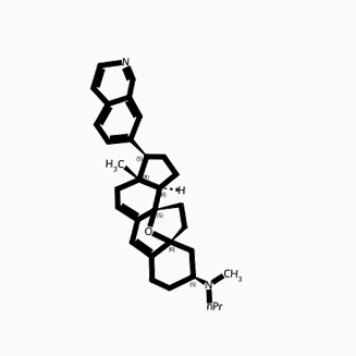 CCCN(C)[C@H]1CCC2=CC3=CC[C@]4(C)[C@@H](c5ccc6ccncc6c5)CC[C@H]4[C@@]34CC[C@]2(C1)O4